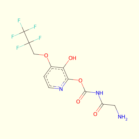 NCC(=O)NC(=O)Oc1nccc(OCC(F)(F)C(F)(F)F)c1O